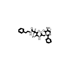 CC(C)C(NC(=O)Cn1c(-c2ccccc2)ncc(N)c1=O)C(=O)C(F)(F)C(=O)NCCc1ccccc1